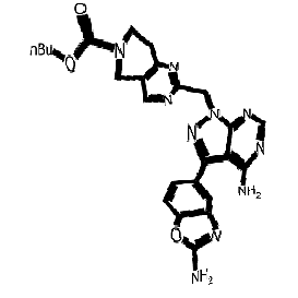 CCCCOC(=O)N1CCc2nc(Cn3nc(-c4ccc5oc(N)nc5c4)c4c(N)ncnc43)ncc2C1